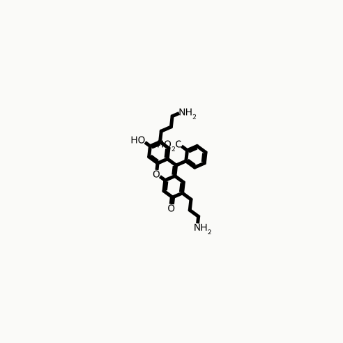 NCCCc1cc2c(-c3ccccc3C(=O)O)c3cc(CCCN)c(=O)cc-3oc2cc1O